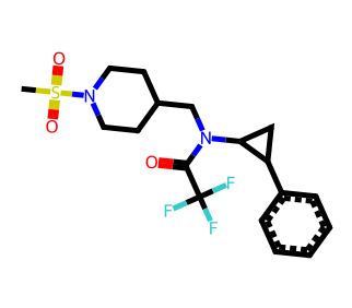 CS(=O)(=O)N1CCC(CN(C(=O)C(F)(F)F)C2CC2c2ccccc2)CC1